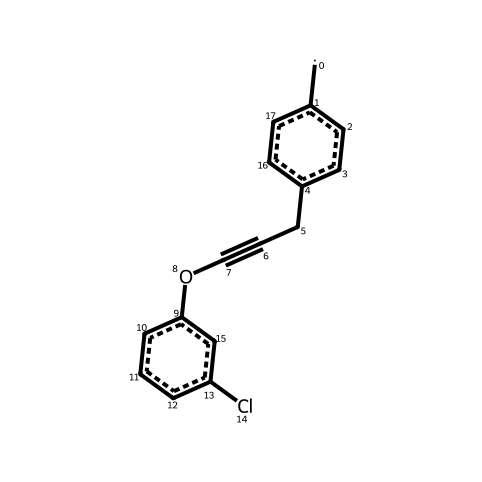 [CH2]c1ccc(CC#COc2cccc(Cl)c2)cc1